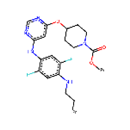 CC(C)CCNc1cc(F)c(Nc2cc(OC3CCN(C(=O)OC(C)C)CC3)ncn2)cc1F